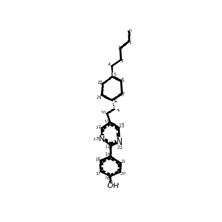 CCCCC[C@H]1CC[C@H](CCc2cnc(-c3ccc(O)cc3)nc2)CC1